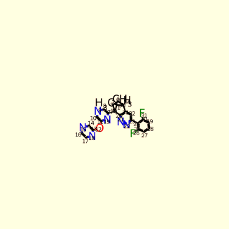 CC1(C)[C@H]2CC[C@@]1(c1cncc(Oc3cnccn3)n1)c1nnc(-c3c(F)cccc3F)cc12